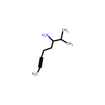 CC#CCCC(N)C(C)C